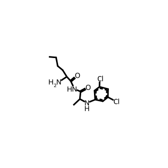 CCCCC(N)C(=O)NC(=O)C(C)Nc1cc(Cl)cc(Cl)c1